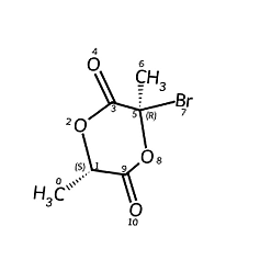 C[C@@H]1OC(=O)[C@@](C)(Br)OC1=O